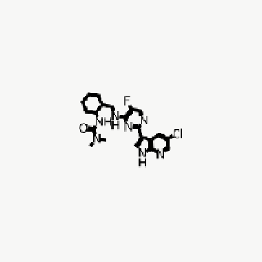 CN(C)C(=O)NC1CCCCC1CNc1nc(-c2c[nH]c3ncc(Cl)cc23)ncc1F